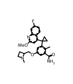 COc1cc(C2(c3cc(OCC4CCN4C)cc(C(N)=O)c3C)CC2)c2ccc(F)cc2n1